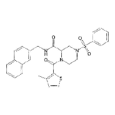 Cc1ccsc1C(=O)N1CCN(S(=O)(=O)c2ccccc2)CC1C(=O)NCc1ccc2ccccc2c1